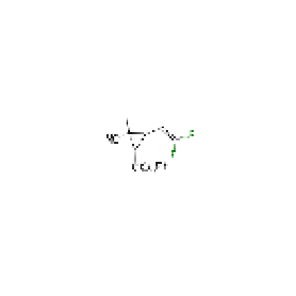 CCOC(=O)C1C(C=C(F)F)C1(C)C#N